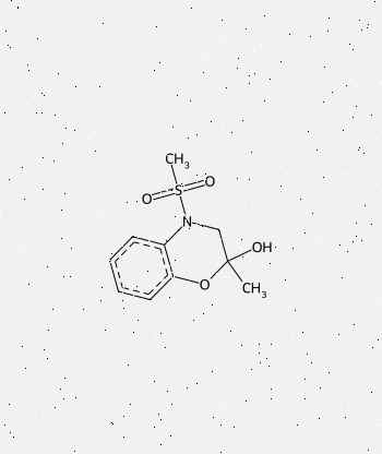 CC1(O)CN(S(C)(=O)=O)c2ccccc2O1